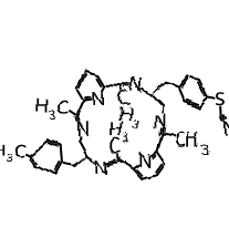 C/C1=N\C[C@H](Cc2ccc(SC#N)cc2)/N=C(\C)c2cccc(n2)/C(C)=N/C[C@H](Cc2ccc(C)cc2)/N=C(\C)c2cccc1n2